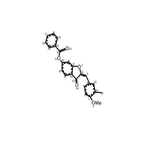 COc1ccc(C=C2Oc3cc(OC(=O)c4ccccc4)ccc3C2=O)cc1C